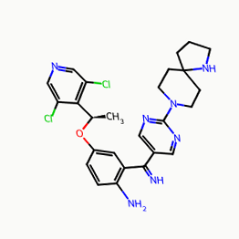 C[C@@H](Oc1ccc(N)c(C(=N)c2cnc(N3CCC4(CCCN4)CC3)nc2)c1)c1c(Cl)cncc1Cl